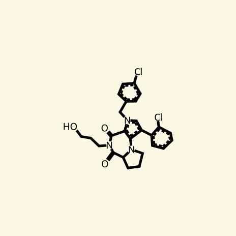 O=C1c2c(c(-c3ccccc3Cl)cn2Cc2ccc(Cl)cc2)N2CCCC2C(=O)N1CCCO